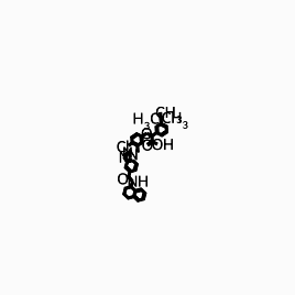 CC(C)(C)c1cccc(C(Oc2ccc(Cl)c(Cn3nnc4cc(C(=O)NC5CCCc6ccccc65)ccc43)c2)C(=O)O)c1